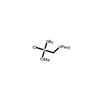 CCCCCC[Si](Cl)(CCCC)OC